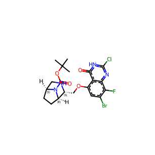 CC(C)(C)OC(=O)N1[C@H]2CC[C@@H]1[C@@H](COc1cc(Br)c(F)c3nc(Cl)[nH]c(=O)c13)NC2